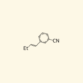 CC/C=C/c1cccc(C#N)c1